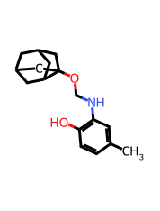 Cc1ccc(O)c(NCOC23CC4CC(CC2C4)C3)c1